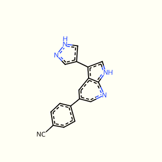 N#Cc1ccc(-c2cnc3[nH]cc(-c4cn[nH]c4)c3c2)cc1